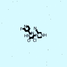 N#CC1CNCCN1c1nc(-c2ccnc(F)c2)[nH]c(=O)c1Cl